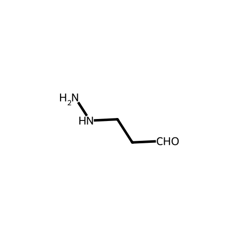 NNCCC=O